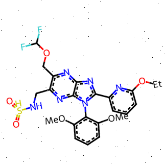 CCOc1cccc(-c2nc3nc(COC(F)F)c(CN[SH](=O)=O)nc3n2-c2c(OC)cccc2OC)n1